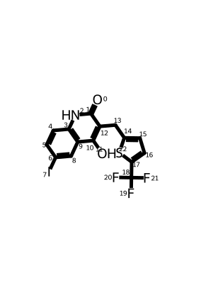 O=c1[nH]c2ccc(I)cc2c(O)c1Cc1ccc(C(F)(F)F)s1